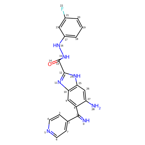 N=C(c1ccncc1)c1cc2nc(C(=O)NNc3cccc(F)c3)[nH]c2cc1N